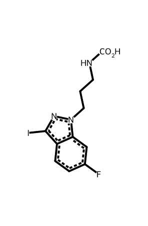 O=C(O)NCCCn1nc(I)c2ccc(F)cc21